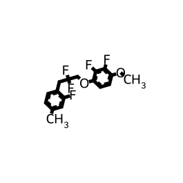 COc1ccc(OCC(F)(F)Cc2ccc(C)cc2F)c(F)c1F